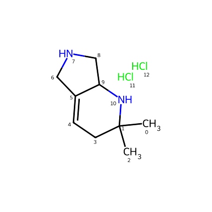 CC1(C)CC=C2CNCC2N1.Cl.Cl